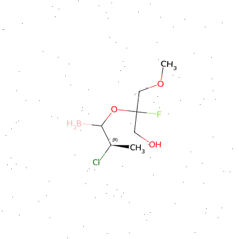 BC(OC(F)(CO)COC)[C@@H](C)Cl